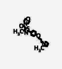 Cc1nc(-c2ccc(OCCCN3CCC[C@@H]3C)cc2)sc1C(=O)N1CCOCC1